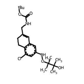 CC(C)(C)OC(=O)NCC1=Cc2cc(BOC(C)(C)C(C)(C)O)cc(Cl)c2CC1